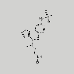 CCNCCC(C)C(Oc1ccc(NS(C)(=O)=O)cc1)c1ccsc1